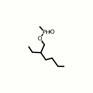 CCCCC(CC)CO[PH](C)=O